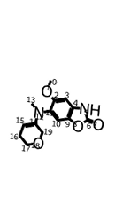 COc1cc2[nH]c(=O)oc2cc1N(C)C1=CCCOC1